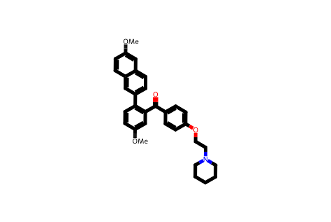 COc1ccc(-c2ccc3cc(OC)ccc3c2)c(C(=O)c2ccc(OCCN3CCCCC3)cc2)c1